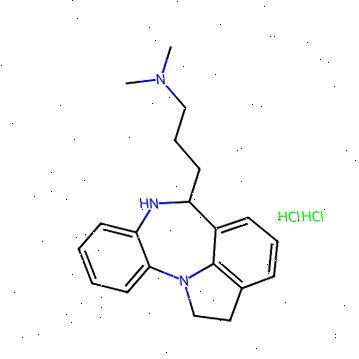 CN(C)CCCC1Nc2ccccc2N2CCc3cccc1c32.Cl.Cl